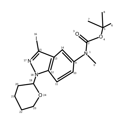 CN(C(=O)OC(C)(C)C)c1ccc2c(c1)c(I)nn2C1CCCCO1